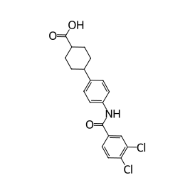 O=C(Nc1ccc(C2CCC(C(=O)O)CC2)cc1)c1ccc(Cl)c(Cl)c1